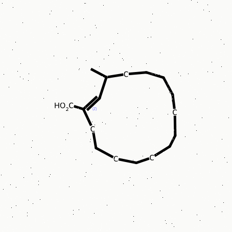 CC1/C=C(\C(=O)O)CCCCCCCCCCCC1